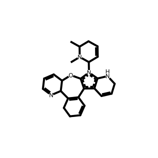 CC1CC=CC(n2c3c(c4c2OC2C=CC=NC2C2=C4C=CCC2)C=CCN3)N1C